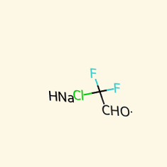 O=[C]C(F)(F)Cl.[NaH]